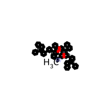 C=Cc1c(/C(=C\C)c2cccc(-c3ccccc3N(c3cccc(-c4cccc5c4c4ccc6ccccc6c4n5-c4ccccc4)c3)c3cccc4ccccc34)c2)cccc1N(c1cccc(-c2cccc3c2c2ccc4ccccc4c2n3-c2ccccc2)c1)c1cccc2ccccc12